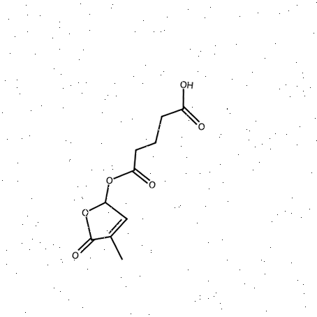 CC1=CC(OC(=O)CCCC(=O)O)OC1=O